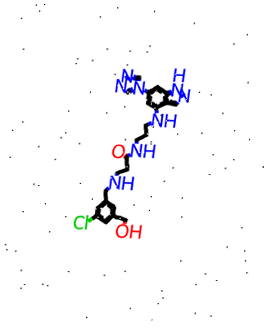 O=C(CCNCc1cc(Cl)cc(CO)c1)NCCCNc1cc(-n2cnnc2)cc2[nH]ncc12